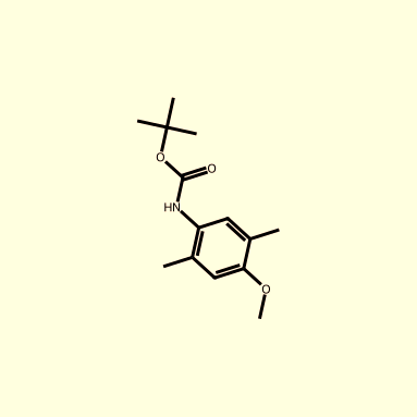 COc1cc(C)c(NC(=O)OC(C)(C)C)cc1C